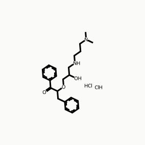 CN(C)CCCNCC(O)COC(Cc1ccccc1)C(=O)c1ccccc1.Cl.Cl